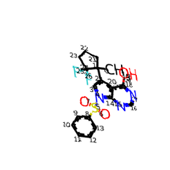 CC1(c2cn(S(=O)(=O)c3ccccc3)c3ncnc(O)c23)CCCC1(F)F